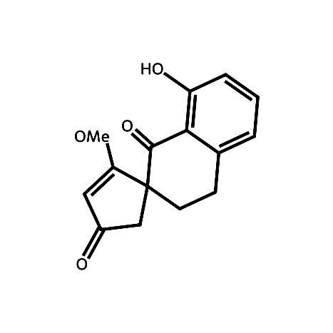 COC1=CC(=O)CC12CCc1cccc(O)c1C2=O